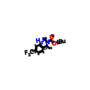 CC(c1ccc(C(F)(F)F)cc1)N(N)C(=O)OC(C)(C)C